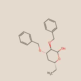 CC[C@@H]1C[C@H](OCc2ccccc2)[C@@H](OCc2ccccc2)C(O)O1